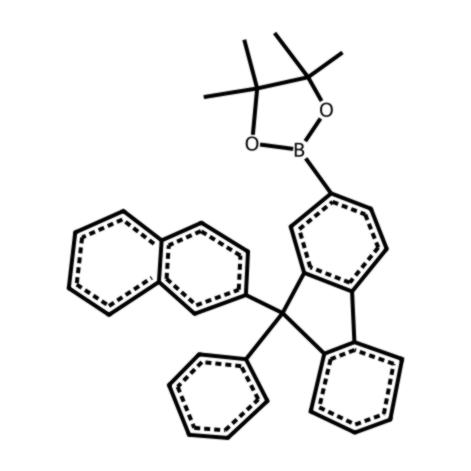 CC1(C)OB(c2ccc3c(c2)C(c2ccccc2)(c2ccc4ccccc4c2)c2ccccc2-3)OC1(C)C